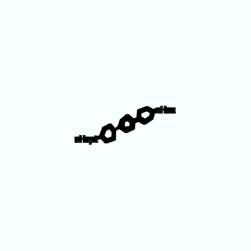 CCCCCCC[C@H]1CC[C@H](c2ccc(C3=CCC(CCCCCC)CC3)cc2)CC1